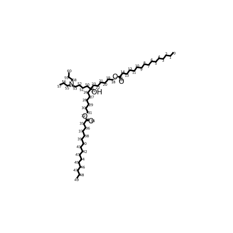 CCCCCCCCCCCCCCCC(=O)OCCCCCCC(O)(CCCCCCOC(=O)CCCCCCCCCCCCCCC)CCCCN(CCC)CCC